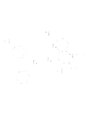 CC[C@@H]1CN(c2c(Cl)c(=O)n(C)c3ccc(C#N)nc23)CCN1C(c1ccc(Cl)cc1)c1ccc(Cl)cc1